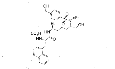 CCCN([C@H](CO)CCC[C@H](CC)NC(=O)[C@H](Cc1cccc2ccccc12)NC(=O)O)S(=O)(=O)c1ccc(CO)cc1